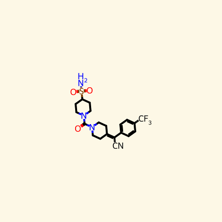 N#CC(=C1CCN(C(=O)N2CCC(S(N)(=O)=O)CC2)CC1)c1ccc(C(F)(F)F)cc1